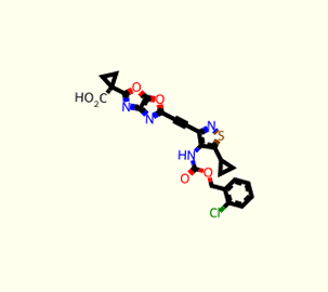 O=C(Nc1c(C#Cc2nc3nc(C4(C(=O)O)CC4)oc3o2)nsc1C1CC1)OCc1ccccc1Cl